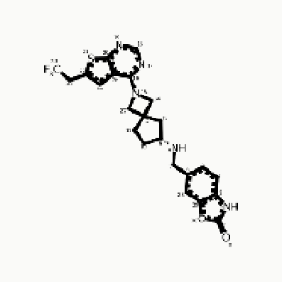 O=c1[nH]c2ccc(CN[C@@H]3CCC4(C3)CN(c3ncnc5sc(CC(F)(F)F)cc35)C4)cc2o1